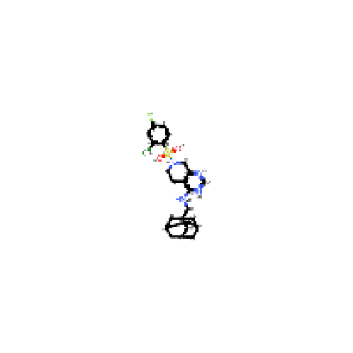 O=S(=O)(c1ccc(F)cc1Cl)N1CCc2c(ncnc2NCC23CC4CC(CC(C4)C2)C3)C1